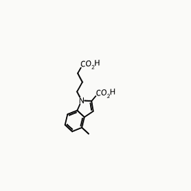 Cc1cccc2c1cc(C(=O)O)n2CCCC(=O)O